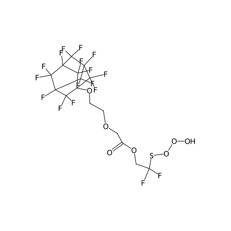 O=C(COCCOC12C(F)(F)C3(F)C(F)(F)C(F)(C(F)(F)C(F)(C3(F)F)C1(F)F)C2(F)F)OCC(F)(F)SOOO